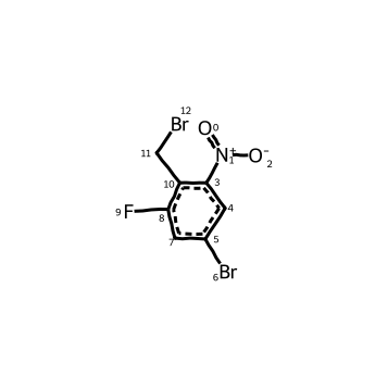 O=[N+]([O-])c1cc(Br)cc(F)c1CBr